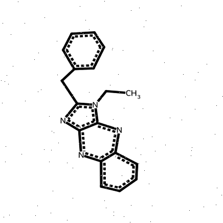 CCn1c(Cc2ccccc2)nc2nc3ccccc3nc21